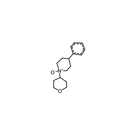 [O-][N+]1(C2CCOCC2)CCC(c2ccccc2)CC1